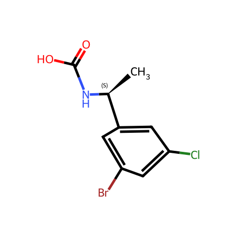 C[C@H](NC(=O)O)c1cc(Cl)cc(Br)c1